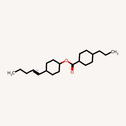 CCC/C=C/C1CCC(OC(=O)C2CCC(CCC)CC2)CC1